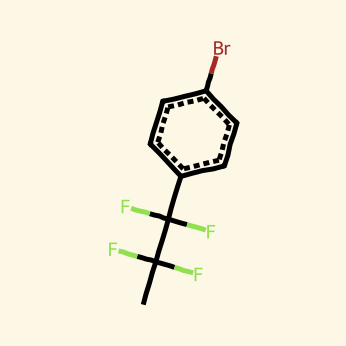 CC(F)(F)C(F)(F)c1ccc(Br)cc1